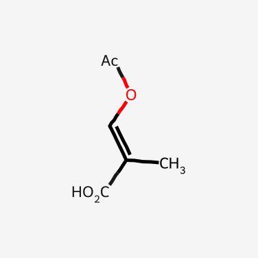 CC(=O)OC=C(C)C(=O)O